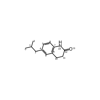 CC(C)[CH]c1ccc2c(c1)CCC(=O)N2